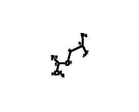 CC(F)OCC(F)F